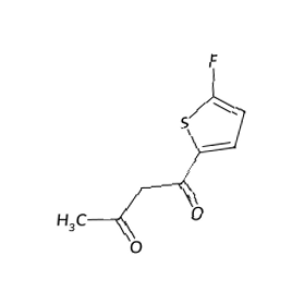 CC(=O)CC(=O)c1ccc(F)s1